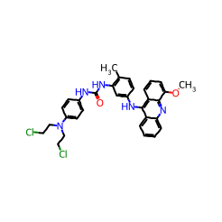 COc1cccc2c(Nc3ccc(C)c(NC(=O)Nc4ccc(N(CCCl)CCCl)cc4)c3)c3ccccc3nc12